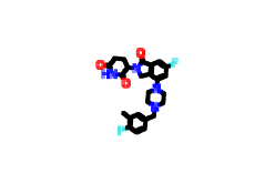 Cc1cc(CN2CCN(c3cc(F)cc4c3CN(C3CCC(=O)NC3=O)C4=O)CC2)ccc1F